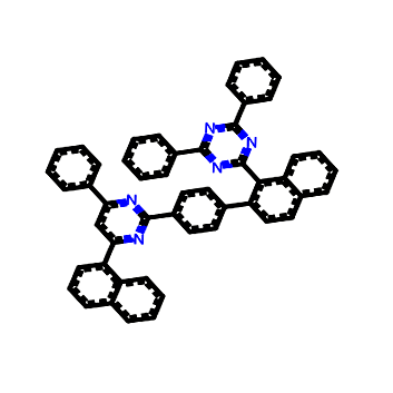 c1ccc(-c2cc(-c3cccc4ccccc34)nc(-c3ccc(-c4ccc5ccccc5c4-c4nc(-c5ccccc5)nc(-c5ccccc5)n4)cc3)n2)cc1